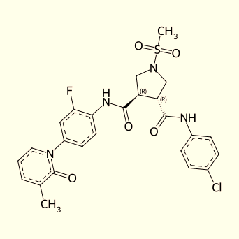 Cc1cccn(-c2ccc(NC(=O)[C@H]3CN(S(C)(=O)=O)C[C@@H]3C(=O)Nc3ccc(Cl)cc3)c(F)c2)c1=O